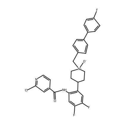 O=C(Nc1cc(F)c(F)cc1C1CC[N+]([O-])(Cc2ccc(-c3ccc(F)cc3)cc2)CC1)c1ccnc(Cl)c1